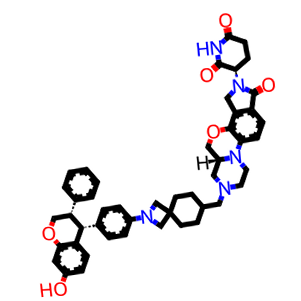 O=C1CC[C@H](N2Cc3c(ccc4c3OC[C@H]3CN(CC5CCC6(CC5)CN(c5ccc([C@@H]7c8ccc(O)cc8OC[C@@H]7c7ccccc7)cc5)C6)CCN43)C2=O)C(=O)N1